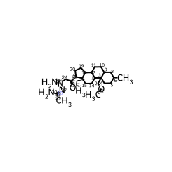 COCC12CCC(C)CC1CCC1C2CCC2(C)C1CC[C@@H]2C(=O)CN(N)/N=C(/C)N